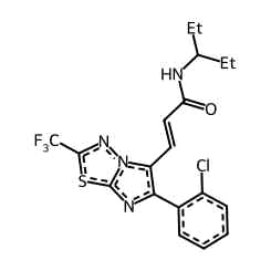 CCC(CC)NC(=O)/C=C/c1c(-c2ccccc2Cl)nc2sc(C(F)(F)F)nn12